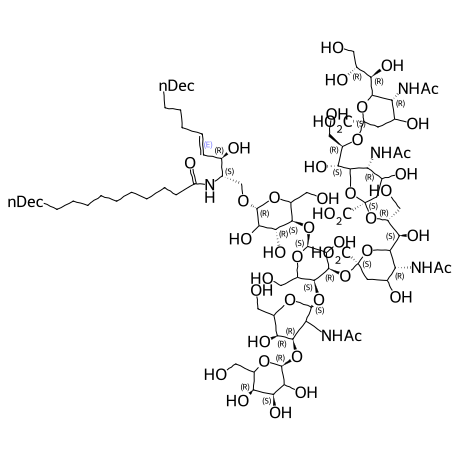 CCCCCCCCCCCCC/C=C/[C@@H](O)[C@H](CO[C@@H]1OC(CO)[C@@H](O[C@@H]2OC(CO)[C@H](O[C@@H]3OC(CO)[C@H](O)[C@H](O[C@@H]4OC(CO)[C@H](O)[C@H](O)C4O)C3NC(C)=O)[C@H](O[C@]3(C(=O)O)CC(O)[C@@H](NC(C)=O)C([C@H](O)[C@@H](CO)O[C@]4(C(=O)O)CC(O)[C@@H](NC(C)=O)C([C@H](O)[C@@H](CO)O[C@]5(C(=O)O)CC(O)[C@@H](NC(C)=O)C([C@H](O)[C@H](O)CO)O5)O4)O3)C2O)[C@H](O)C1O)NC(=O)CCCCCCCCCCCCCCCCCCC